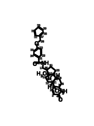 C[C@]12C=CC(=O)NC1CC[C@@H]1[C@H]2CC[C@]2(C)C(CNC(=O)c3ccc(OCc4ccccc4)cc3)CC[C@@H]12